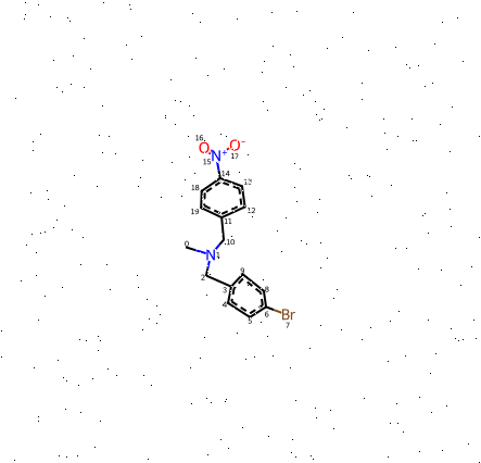 CN(Cc1ccc(Br)cc1)Cc1ccc([N+](=O)[O-])cc1